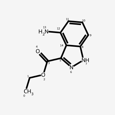 CCOC(=O)c1n[nH]c2cccc(N)c12